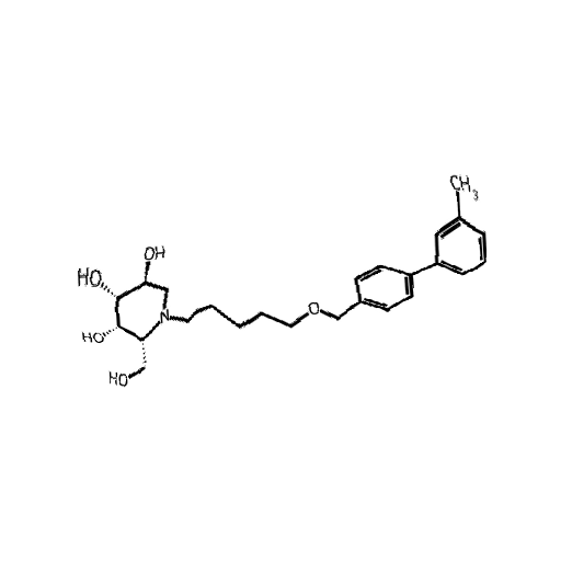 Cc1cccc(-c2ccc(COCCCCCN3C[C@H](O)[C@@H](O)[C@@H](O)[C@H]3CO)cc2)c1